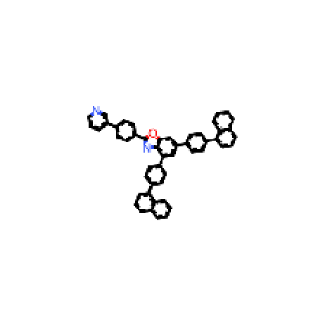 c1cncc(-c2ccc(-c3nc4c(-c5ccc(-c6cccc7ccccc67)cc5)cc(-c5ccc(-c6cccc7ccccc67)cc5)cc4o3)cc2)c1